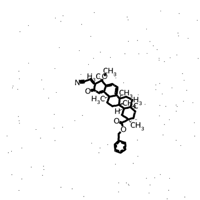 CO[C@@]1(C)C2=CC=C3[C@@](C)(CC[C@@]4(C)[C@@H]5C[C@](C)(C(=O)OCc6ccccc6)CC[C@]5(C)CC[C@]34C)C2=CC(=O)/C1=C\C#N